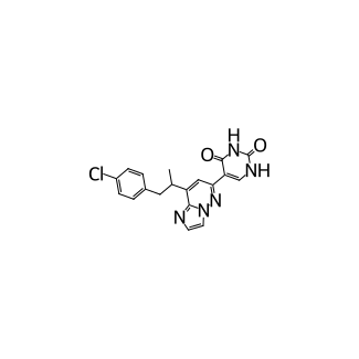 CC(Cc1ccc(Cl)cc1)c1cc(-c2c[nH]c(=O)[nH]c2=O)nn2ccnc12